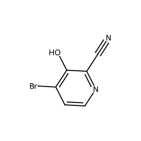 N#Cc1nccc(Br)c1O